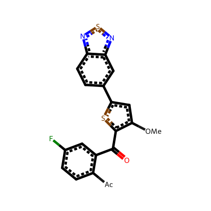 COc1cc(-c2ccc3nsnc3c2)sc1C(=O)c1cc(F)ccc1C(C)=O